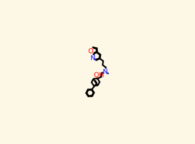 CN(CCCc1cnc2occc2c1)CCC1(O)CC2CCC1C=C2c1ccccc1